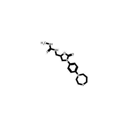 CNC(=S)NCC1CN(c2ccc(N3CCCSCC3)cc2)C(=O)O1